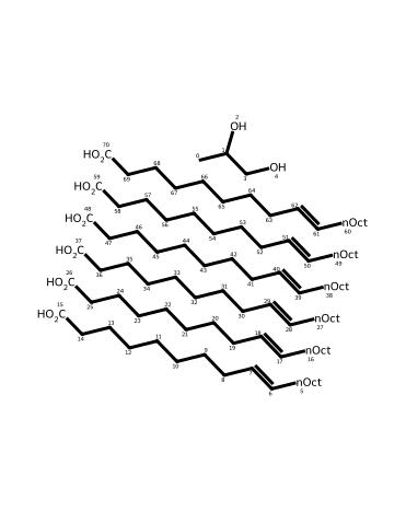 CC(O)CO.CCCCCCCCC=CCCCCCCCC(=O)O.CCCCCCCCC=CCCCCCCCC(=O)O.CCCCCCCCC=CCCCCCCCC(=O)O.CCCCCCCCC=CCCCCCCCC(=O)O.CCCCCCCCC=CCCCCCCCC(=O)O.CCCCCCCCC=CCCCCCCCC(=O)O